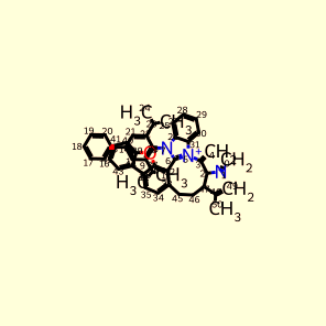 C=NC1C(=C)[n+]2c(n(-c3c(C(C)C)cc(-c4ccccc4)cc3C(C)C)c3ccccc32)-c2c(ccc3c2oc2ccccc23)CCC1C(=C)C